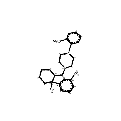 COc1ccccc1N1CCN(CC2CCCCC2(O)c2cccc(C(F)(F)F)c2)CC1